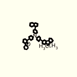 CC1(C)c2ccccc2-c2cc(-c3ccc(N(c4ccc(-c5cccc6ccccc56)cc4)c4ccc(-c5cccc6c7c(oc56)CCC=C7)cc4)cc3)ccc21